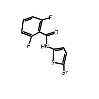 O=C(Nc1ccc(Br)s1)c1c(F)cccc1F